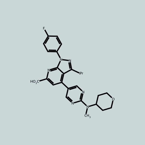 CC(C)c1nn(-c2ccc(F)cc2)c2nc(C(=O)O)cc(-c3cnc(N(C)C4CCOCC4)nc3)c12